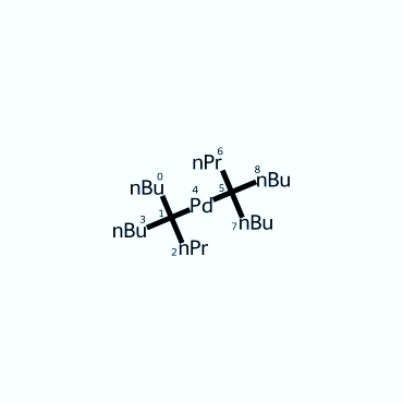 CCCC[C](CCC)(CCCC)[Pd][C](CCC)(CCCC)CCCC